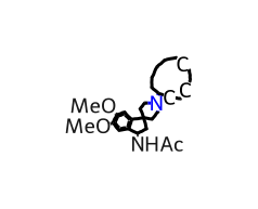 COc1cc2c(cc1OC)C1(CCN(C3CCCCCCCCCCC3)CC1)C[C@@H]2NC(C)=O